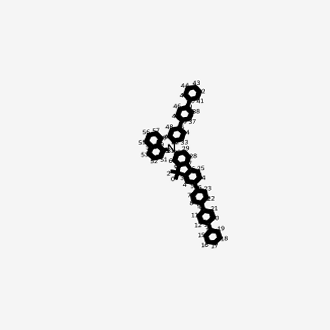 CC1(C)c2cc(-c3ccc(-c4ccc(-c5ccccc5)cc4)cc3)ccc2-c2ccc(N(c3ccc(-c4ccc(-c5ccccc5)cc4)cc3)c3cccc4ccccc34)cc21